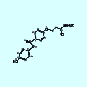 CCCCCCCC(Cl)CCOc1ccc(C(=O)Oc2ccc(O)cc2)cc1